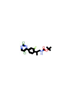 CC(CNC(=O)OC(C)(C)C)c1ccc(-c2nc(Cl)ncc2Cl)cc1F